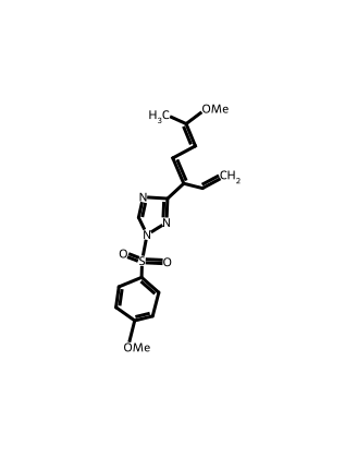 C=C/C(=C\C=C(/C)OC)c1ncn(S(=O)(=O)c2ccc(OC)cc2)n1